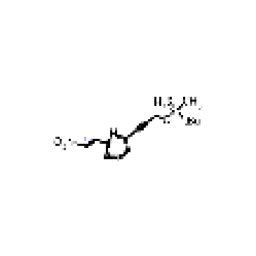 CC(C)(C)[Si](C)(C)OCC#Cc1cccc(/C=C/[N+](=O)[O-])n1